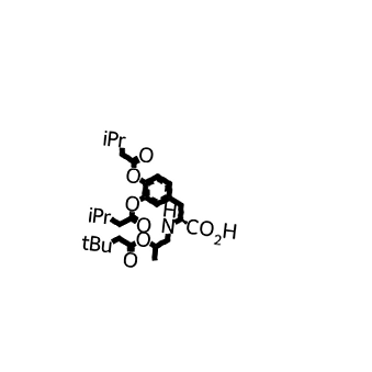 CC(C)CC(=O)Oc1ccc(C[C@H](NCC(C)OC(=O)CC(C)(C)C)C(=O)O)cc1OC(=O)CC(C)C